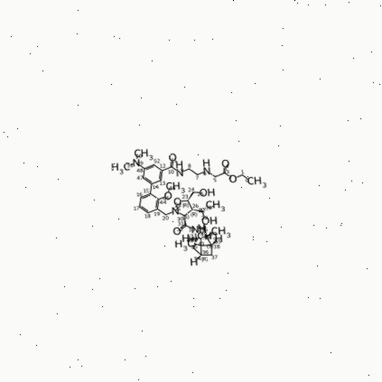 CCOC(=O)CNCCNC(=O)c1cc(-c2cccc(CN3O[C@@H](CO)[C@@H]([C@H](C)O)[C@H]3C(=O)N[C@H]3C[C@H]4C[C@@H]([C@@H]3C)C4(C)C)c2OC)cc(N(C)C)c1